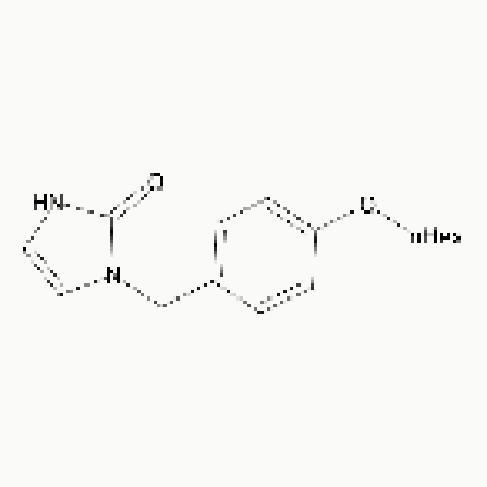 CCCCCCOc1ccc(Cn2cc[nH]c2=O)cc1